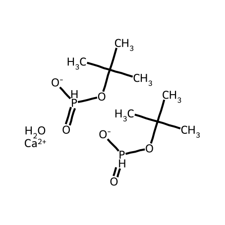 CC(C)(C)O[PH](=O)[O-].CC(C)(C)O[PH](=O)[O-].O.[Ca+2]